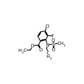 CCOC(=O)c1ccc(Cl)c(F)c1N(CC)S(C)(=O)=O